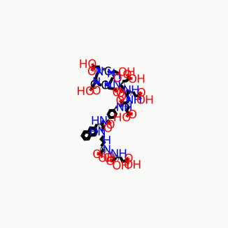 O=C(O)CC[C@H](NC(=O)N[C@@H](CCCCNC(=O)[C@H](Cc1ccc2ccccc2c1)NC(=O)[C@H]1CC[C@H](CNC(=O)[C@H](CCC(=O)O)NC(=O)[C@H](CCC(=O)O)NC(=O)[C@H](CCC(=O)O)NC(=O)CN2CCN(CC(=O)O)CCN(CC(=O)O)CCN(CC(=O)O)CC2)CC1)C(=O)O)C(=O)O